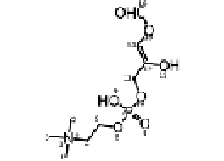 C[N+](C)(C)CCOP(=O)(O)OC/C(O)=C/OC=O